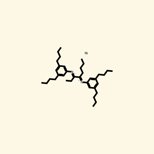 CCCCC(=N\c1cc(CCCC)cc(CCCC)c1)/C(CC)=N/c1cc(CCCC)cc(CCCC)c1.[Ni]